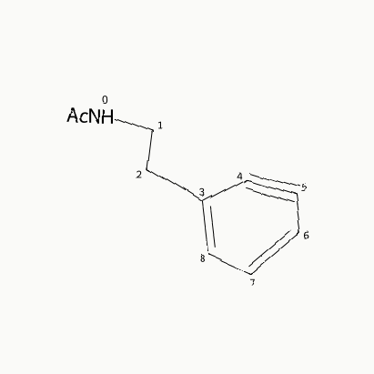 CC(=O)NCCc1c#cccc1